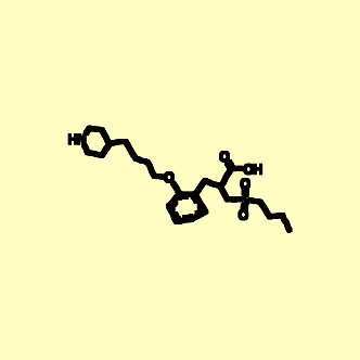 CCCCS(=O)(=O)CC(Cc1ccccc1OCCCCC1CCNCC1)C(=O)O